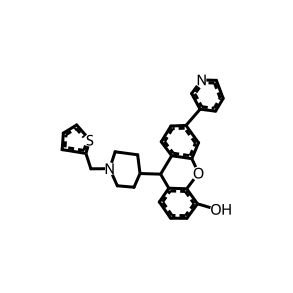 Oc1cccc2c1Oc1cc(-c3cccnc3)ccc1C2C1CCN(Cc2cccs2)CC1